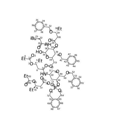 CCC(=O)O[C@H](CC)CC(=O)NC1[C@H](OCC2OC(O)C(NC(=O)C[C@H](C)CC)[C@@H](OC(=O)C[C@@H](CC)OCc3ccccc3)[C@@H]2OCc2ccccc2)OC(COCc2ccccc2)[C@@H](OP2(=O)OCc3ccccc3CO2)[C@@H]1OC(=O)C[C@@H](CC)OC(=O)CC